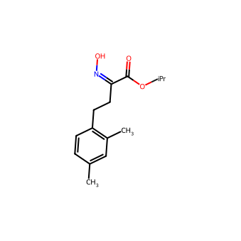 Cc1ccc(CCC(=NO)C(=O)OC(C)C)c(C)c1